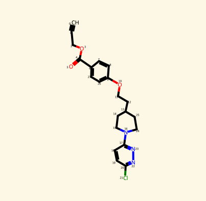 C#CCOC(=O)c1ccc(OCCC2CCN(c3ccc(Cl)nn3)CC2)cc1